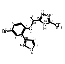 C[C@H](Oc1ccc(Br)cc1-c1ccon1)c1nnc(C(F)(F)F)[nH]1